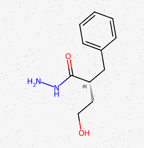 NNC(=O)[C@@H](CCO)Cc1ccccc1